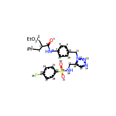 CCOC(=O)C(CC(C)C)C(=O)Nc1ccc(Cn2nncc2CNS(=O)(=O)c2ccc(F)cc2)cc1